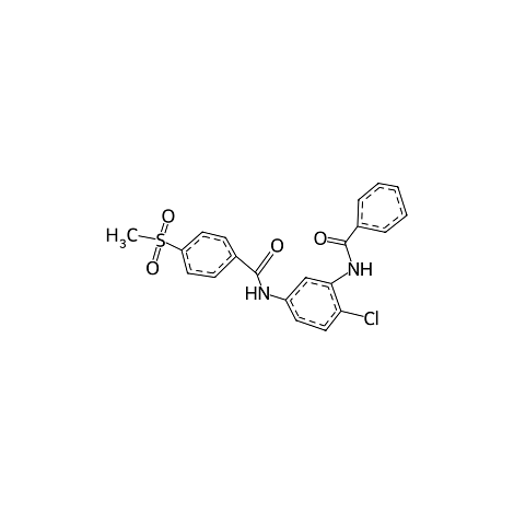 CS(=O)(=O)c1ccc(C(=O)Nc2ccc(Cl)c(NC(=O)c3ccccc3)c2)cc1